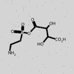 NCCS(=O)(=O)OC(=O)C(O)C(O)C(=O)O